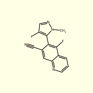 Cn1ncc(I)c1-c1c(C#N)cc2ncccc2c1F